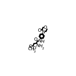 COC(=O)C[C@H](N)C(=O)Nc1ccc(N2CCOCC2=O)cc1